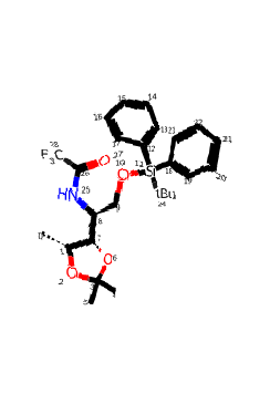 C[C@H]1OC(C)(C)O[C@H]1[C@H](CO[Si](c1ccccc1)(c1ccccc1)C(C)(C)C)NC(=O)C(F)(F)F